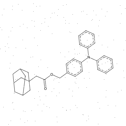 O=C(CC12CC3CC(CC(C3)C1)C2)OCc1ccc(N(c2ccccc2)c2ccccc2)cc1